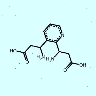 NC(CC(=O)O)c1cccnc1C(N)CC(=O)O